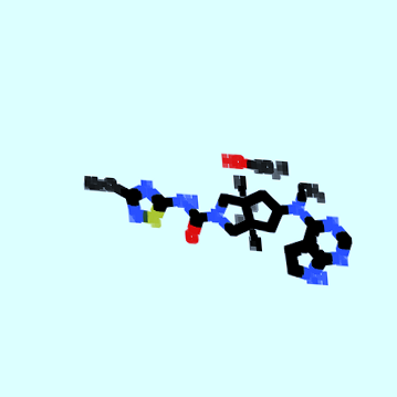 COc1nsc(NC(=O)N2C[C@H]3CC(N(C)c4ncnc5[nH]ccc45)C[C@H]3C2)n1.O=S(=O)(O)O